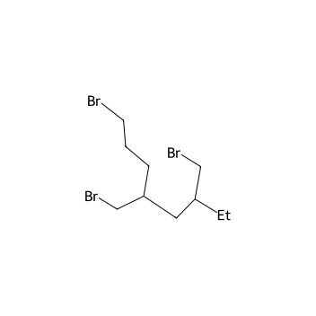 CCC(CBr)CC(CBr)CCCBr